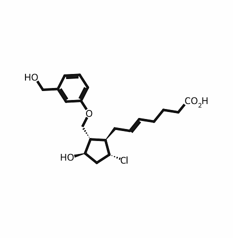 O=C(O)CCCC=CC[C@@H]1[C@@H](COc2cccc(CO)c2)[C@H](O)C[C@H]1Cl